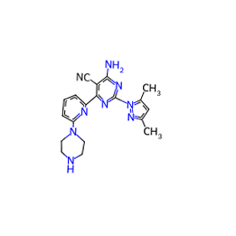 Cc1cc(C)n(-c2nc(N)c(C#N)c(-c3cccc(N4CCNCC4)n3)n2)n1